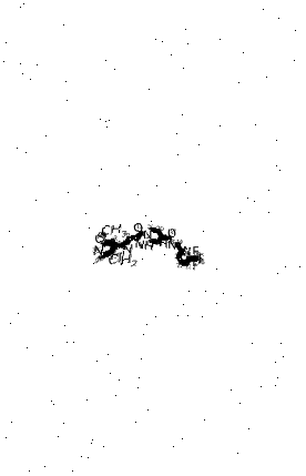 COc1cc(/C(N)=C/C(=N)C(=O)N2CCC(C(=O)NCc3cccc(C(F)(F)F)n3)CC2)c(Cl)cn1